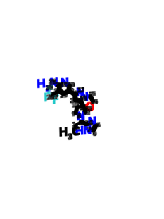 CC[C@H](c1ncc[nH]1)N1CCC2(C1)OCCn1nc(-c3cnc(N)c(C(F)(F)F)c3)cc12